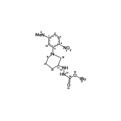 CNc1ccc([N+](=O)[O-])c(N2CCCC(NNC(=O)OC(C)(C)C)C2)c1